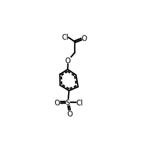 O=C(Cl)COc1ccc(S(=O)(=O)Cl)cc1